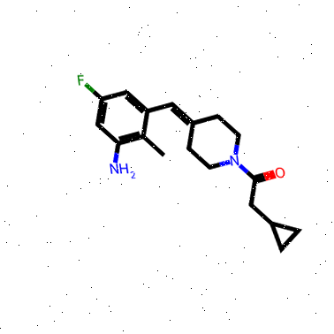 Cc1c(N)cc(F)cc1C=C1CCN(C(=O)CC2CC2)CC1